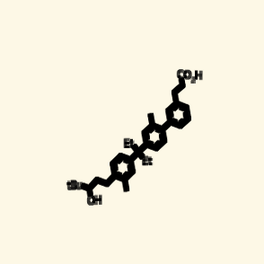 CCC(CC)(c1ccc(CCC(O)C(C)(C)C)c(C)c1)c1ccc(-c2cccc(CCC(=O)O)c2)c(C)c1